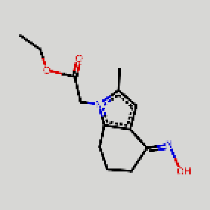 CCOC(=O)Cn1c(C)cc2c1CCCC2=NO